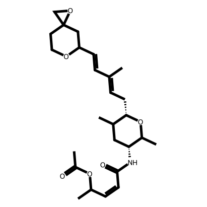 CC(=O)OC(C)/C=C\C(=O)N[C@@H]1CC(C)[C@H](C/C=C(C)/C=C/C2CC3(CCO2)CO3)OC1C